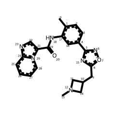 Cc1ccc(-c2noc(CC3CN(C)C3)n2)cc1NC(=O)c1cnc2ccccn12